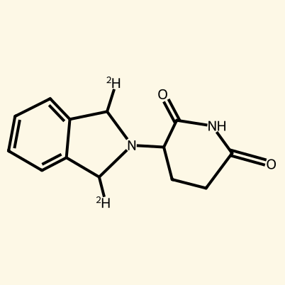 [2H]C1c2ccccc2C([2H])N1C1CCC(=O)NC1=O